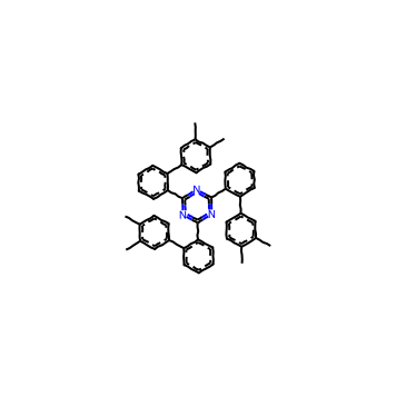 Cc1ccc(-c2ccccc2-c2nc(-c3ccccc3-c3ccc(C)c(C)c3)nc(-c3ccccc3-c3ccc(C)c(C)c3)n2)cc1C